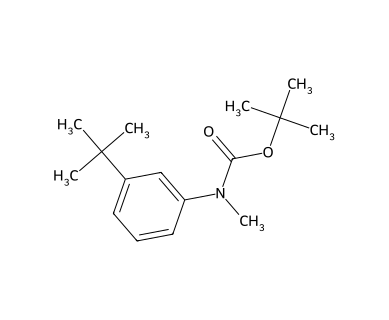 CN(C(=O)OC(C)(C)C)c1cccc(C(C)(C)C)c1